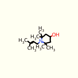 CC(C)=CCN1C(C)(C)CC(O)CC1(C)C